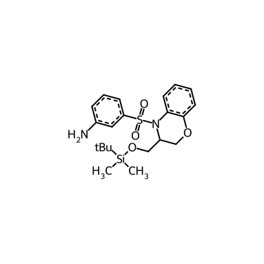 CC(C)(C)[Si](C)(C)OCC1COc2ccccc2N1S(=O)(=O)c1cccc(N)c1